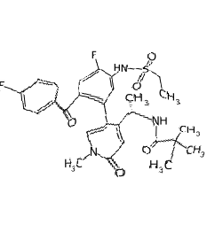 CCS(=O)(=O)Nc1cc(-c2cn(C)c(=O)cc2[C@H](C)NC(=O)C(C)(C)C)c(C(=O)c2ccc(F)cc2)cc1F